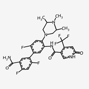 CC1CN(c2cc(F)c(-c3cc(C(N)=O)c(F)cc3F)cc2NC(=O)c2c[nH]c(=O)cc2C(F)(F)F)CC(C)N1C